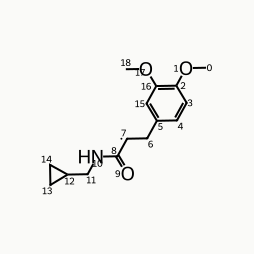 COc1ccc(C[CH]C(=O)NCC2CC2)cc1OC